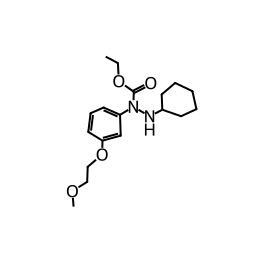 CCOC(=O)N(NC1CCCCC1)c1cccc(OCCOC)c1